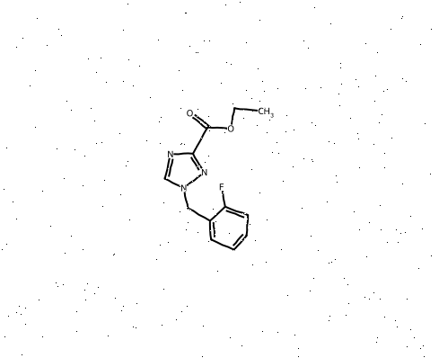 CCOC(=O)c1ncn(Cc2ccccc2F)n1